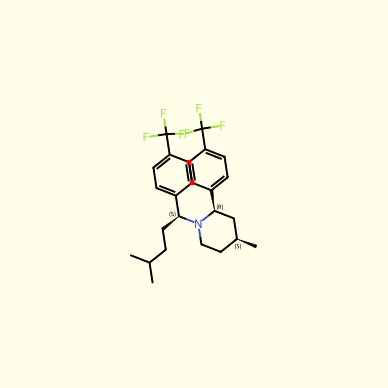 CC(C)CC[C@@H](c1ccc(C(F)(F)F)cc1)N1CC[C@H](C)C[C@@H]1c1ccc(C(F)(F)F)cc1